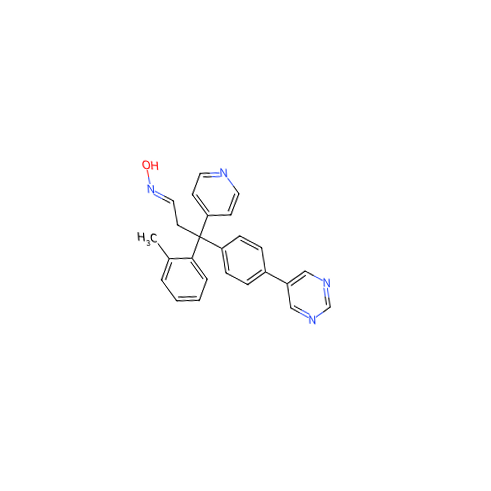 Cc1ccccc1C(CC=NO)(c1ccncc1)c1ccc(-c2cncnc2)cc1